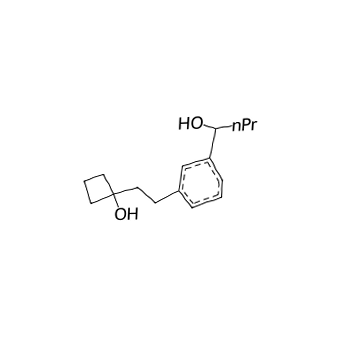 CCCC(O)c1cccc(CCC2(O)CCC2)c1